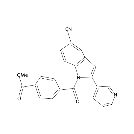 COC(=O)c1ccc(C(=O)n2c(-c3cccnc3)cc3cc(C#N)ccc32)cc1